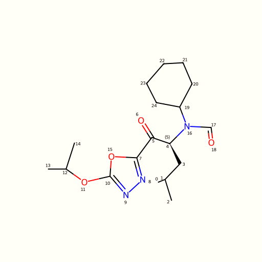 CC(C)C[C@@H](C(=O)c1nnc(OC(C)C)o1)N(C=O)C1CCCCC1